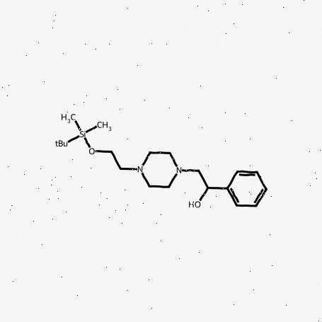 CC(C)(C)[Si](C)(C)OCCN1CCN(CC(O)c2ccccc2)CC1